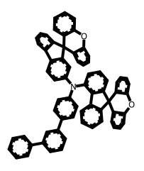 c1ccc(-c2cccc(-c3ccc(N(c4ccc5c(c4)C4(c6ccccc6Oc6ccccc64)c4ccccc4-5)c4cccc5c4-c4ccccc4C54c5ccccc5Oc5ccccc54)cc3)c2)cc1